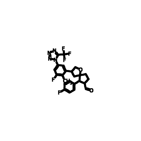 Cc1c(F)cc(-n2nnnc2C(F)(F)F)cc1C1COC2(CCC(C=O)C2c2ccc(F)cc2)C1